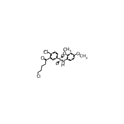 COc1ccc(NS(=O)(=O)c2ccc(Cl)c(C(=O)CCCCCl)c2)c(OC)c1